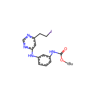 CC(C)(C)OC(=O)Nc1cccc(Nc2cc(CCI)ncn2)c1